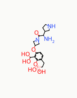 NC(C(=O)N1CC(Oc2ccc3c(c2C(O)O)O[B-](O)(O)CC3)C1)C1CCNC1